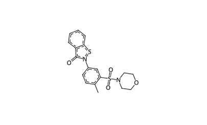 Cc1ccc(-n2sc3ccccc3c2=O)cc1S(=O)(=O)N1CCOCC1